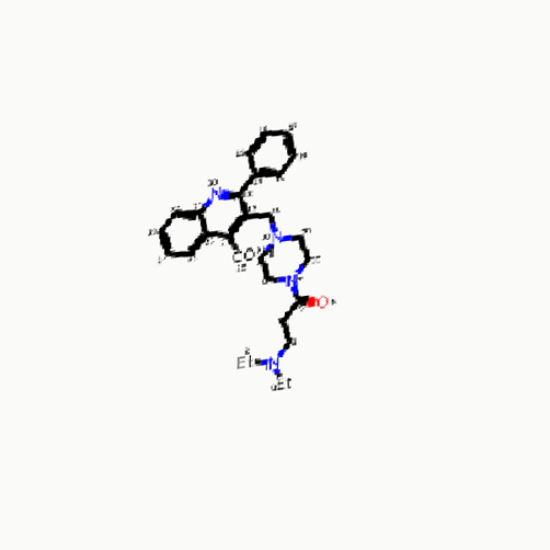 CCN(CC)CCC(=O)N1CCN(Cc2c(-c3ccccc3)nc3ccccc3c2C(=O)O)CC1